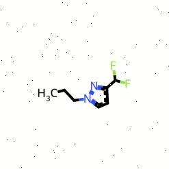 CCCn1ccc(C(F)F)n1